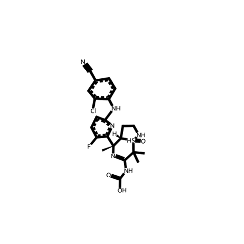 CC1(C)C(NC(=O)O)=N[C@](C)(c2nc(Nc3ccc(C#N)cc3Cl)ccc2F)[C@@H]2CCN[SH]21=O